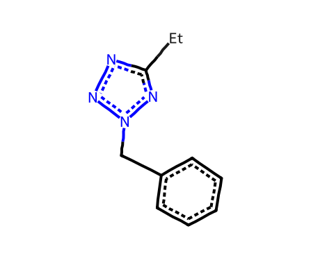 CCc1nnn(Cc2ccccc2)n1